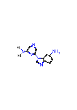 CCN(CC)c1cncc(-n2cnc3ccc(N)cc32)n1